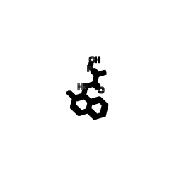 CC(=NO)C(=O)Nc1c(C)ccc2ccccc12